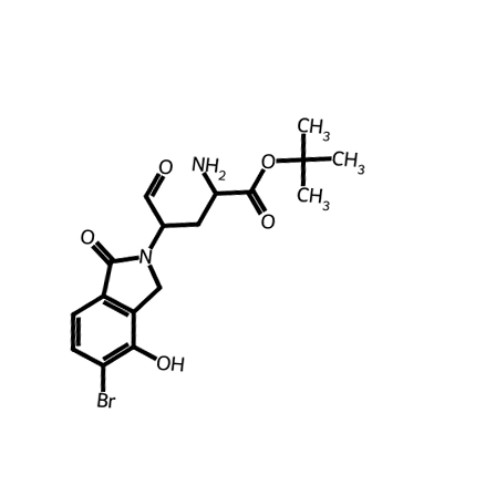 CC(C)(C)OC(=O)C(N)CC(C=O)N1Cc2c(ccc(Br)c2O)C1=O